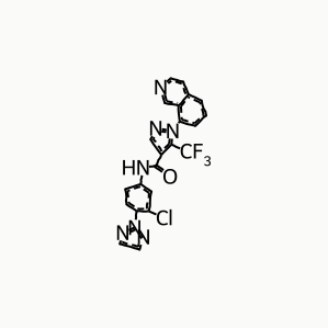 O=C(Nc1ccc(-n2nccn2)c(Cl)c1)c1cnn(-c2cccc3ccncc23)c1C(F)(F)F